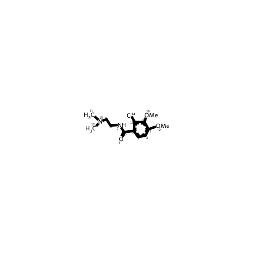 COc1ccc(C(=O)NCCN(C)C)c(Cl)c1OC